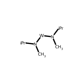 CC(C)[N](C)[W][N](C)C(C)C